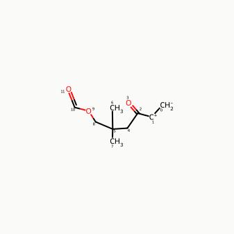 [CH2-][CH+]C(=O)CC(C)(C)COC=O